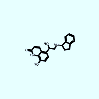 O=c1ccc2c(C(O)CN[C@@H]3CCc4ccccc43)ccc(O)c2[nH]1